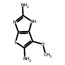 COc1c(N)sc2nc(N)[nH]c12